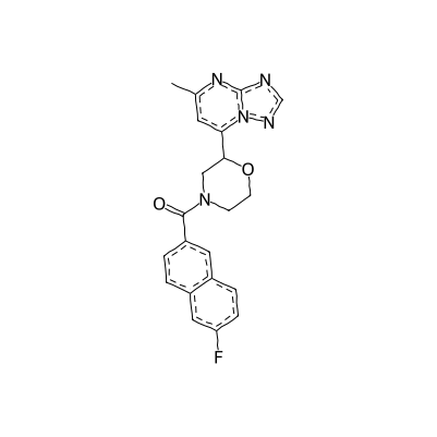 Cc1cc(C2CN(C(=O)c3ccc4cc(F)ccc4c3)CCO2)n2ncnc2n1